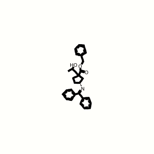 CC(O)C1(C(=O)OCc2ccccc2)CC[C@@H](N=C(c2ccccc2)c2ccccc2)C1